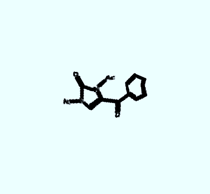 CC(=O)n1cc(C(=O)c2ccccc2)n(C(C)=O)c1=O